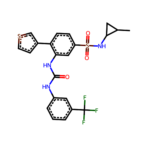 CC1CC1NS(=O)(=O)c1ccc(-c2ccsc2)c(NC(=O)Nc2cccc(C(F)(F)F)c2)c1